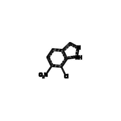 O=[N+]([O-])c1ccc2cn[nH]c2c1Cl